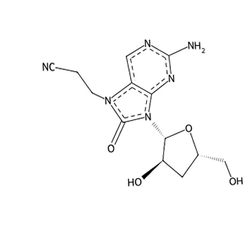 N#CCCn1c(=O)n([C@@H]2O[C@H](CO)C[C@H]2O)c2nc(N)ncc21